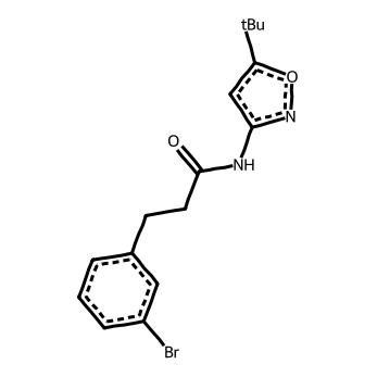 CC(C)(C)c1cc(NC(=O)CCc2cccc(Br)c2)no1